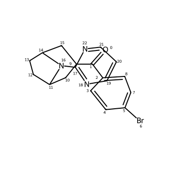 O=C(c1ccc(Br)cc1)C1CC2CCC(C1)N2c1ncccn1